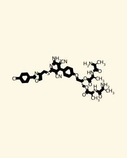 C[C@H](NC(=O)[C@@H](C)N)C(=O)OC[C@H](COc1ccc(-c2c(C#N)c(N)nc(SCc3coc(-c4ccc(Cl)cc4)n3)c2C#N)cc1)OC(=O)[C@H](C)NC(=O)[C@@H](C)N